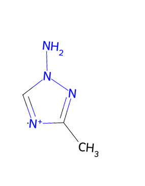 CC1=NN(N)C=[N+]1